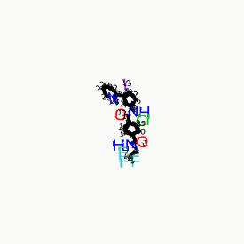 O=C(NCC(F)(F)F)c1ccc(C(=O)Nc2ccc(I)c(-c3ccccn3)c2)c(Cl)c1